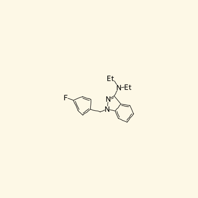 CCN(CC)c1nn(Cc2ccc(F)cc2)c2ccccc12